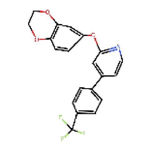 FC(F)(F)c1ccc(-c2ccnc(Oc3ccc4c(c3)OCCO4)c2)cc1